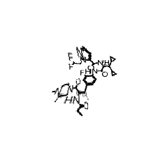 CCC(=O)N[C@@H](C(=O)N1CCN(C)[C@H](C)C1)[C@@H](C)c1ccc(NC(=O)[C@@H](NC(=O)c2ccnn2CC(F)F)C(C2CC2)C2CC2)c(F)c1